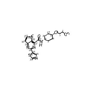 COCCO[C@H]1CC[C@H](NC(=O)c2nc(-c3cncs3)nc3ccsc23)CC1